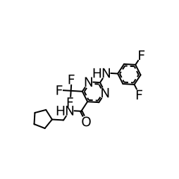 O=C(NCC1CCCC1)c1cnc(Nc2cc(F)cc(F)c2)nc1C(F)(F)F